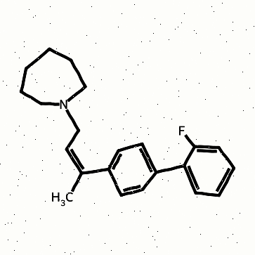 CC(=CCN1CCCCCC1)c1ccc(-c2ccccc2F)cc1